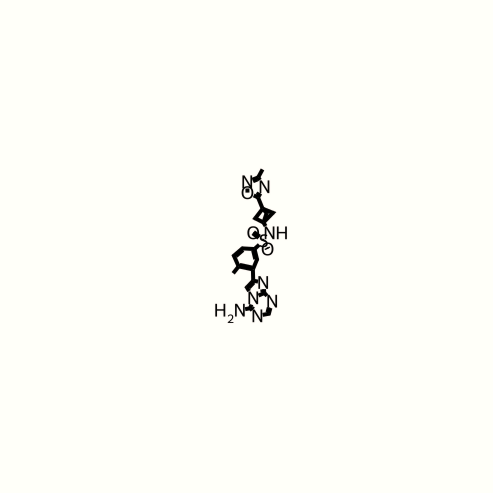 Cc1noc(C23CC(NS(=O)(=O)c4ccc(C)c(-c5cn6c(N)ncnc6n5)c4)(C2)C3)n1